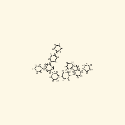 c1ccc(-c2ccc(-c3nc(-c4ccccc4)nc(-c4cccc(-c5cccc(-c6cccc7oc8c(-c9ccccc9)cccc8c67)c5)c4)n3)cc2)cc1